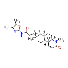 Cc1nc(NC(=O)C[C@H]2CC[C@H]3[C@@H]4CC[C@H]5N(C)C(=O)C=C[C@]5(C)[C@H]4CC[C@]23C)sc1C